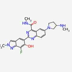 CNC(=O)c1nc(-c2cc3cn(C)nc3c(F)c2O)nc2ccc(N3CCC(NC)C3)cc12